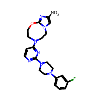 O=[N+]([O-])c1cn2c(n1)OCCN(c1ccnc(N3CCN(c4cccc(F)c4)CC3)n1)CC2